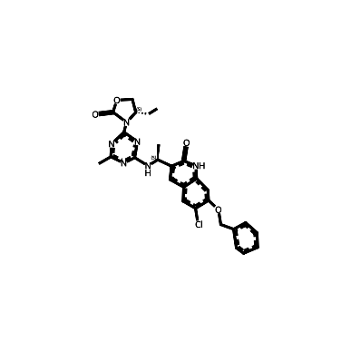 CC[C@H]1COC(=O)N1c1nc(C)nc(N[C@@H](C)c2cc3cc(Cl)c(OCc4ccccc4)cc3[nH]c2=O)n1